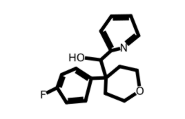 OC(c1ccccn1)C1(c2ccc(F)cc2)CCOCC1